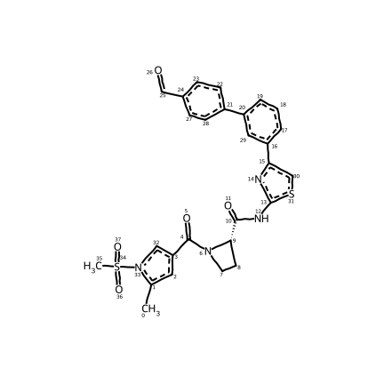 Cc1cc(C(=O)N2CC[C@H]2C(=O)Nc2nc(-c3cccc(-c4ccc(C=O)cc4)c3)cs2)cn1S(C)(=O)=O